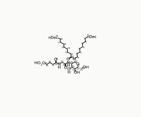 CCCCCCCCCCCCCCCCCCN(C(=O)CCCCCCCCCCCCCCCCC)[C@@H]1O[C@H](CO)[C@@H](O)[C@H](O)[C@H]1NC(=O)CNC(=O)CCCC(=O)O